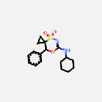 O=S1(=O)N=C(NC2CCCCC2)OC(c2ccccc2)C12CC2